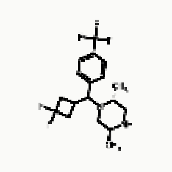 C[C@@H]1CN[C@@H](C)CN1C(c1ccc(C(F)(F)F)cc1)C1CC(F)(F)C1